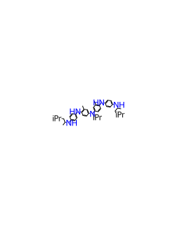 Cc1cc(N(c2ccc(Nc3ccc(NC(C)CC(C)C)cc3)c(C)c2)C(C)C)ccc1Nc1ccc(NC(C)CC(C)C)cc1